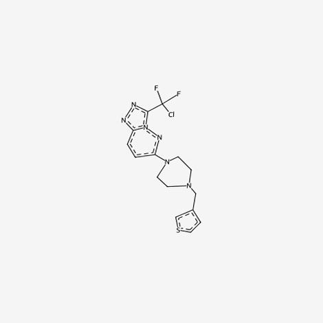 FC(F)(Cl)c1nnc2ccc(N3CCN(Cc4ccsc4)CC3)nn12